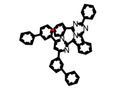 c1ccc(-c2cccc(-c3cc(-c4cccc(-c5ccccc5)c4)nc(-c4c5ccccc5c5nc(-c6ccccc6)nc(-c6ccccc6)n45)n3)c2)cc1